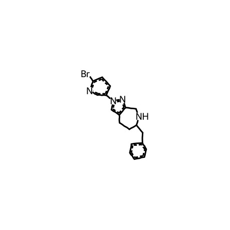 Brc1ccc(-n2cc3c(n2)CNC(Cc2ccccc2)CC3)cn1